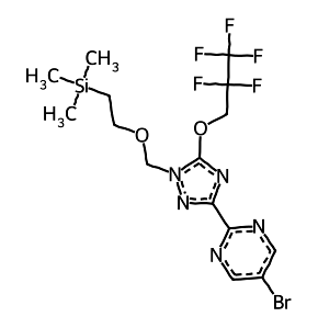 C[Si](C)(C)CCOCn1nc(-c2ncc(Br)cn2)nc1OCC(F)(F)C(F)(F)F